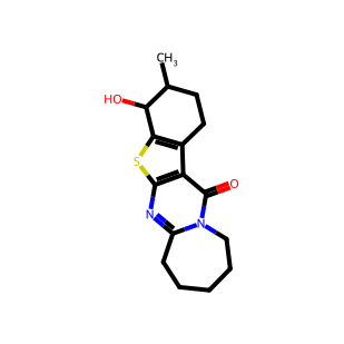 CC1CCc2c(sc3nc4n(c(=O)c23)CCCCC4)C1O